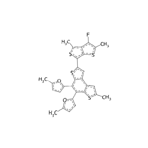 Cc1ccc(-c2c(-c3ccc(C)o3)c3sc(-c4sc(C)c5c(F)c(C)sc45)cc3c3cc(C)sc23)o1